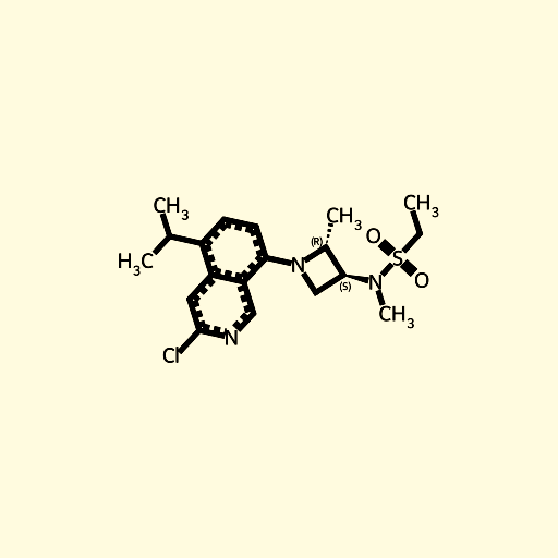 CCS(=O)(=O)N(C)[C@H]1CN(c2ccc(C(C)C)c3cc(Cl)ncc23)[C@@H]1C